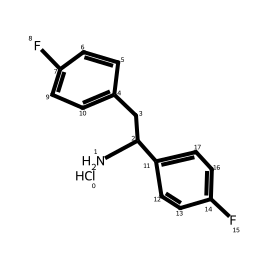 Cl.NC(Cc1ccc(F)cc1)c1ccc(F)cc1